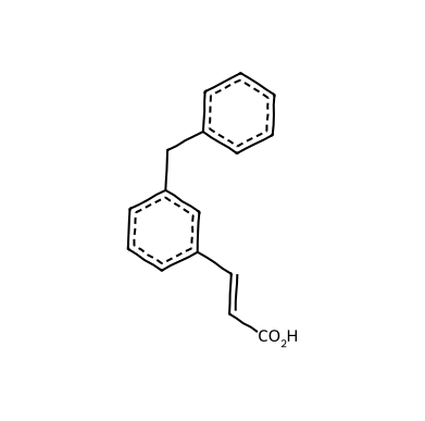 O=C(O)/C=C/c1cccc(Cc2ccccc2)c1